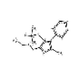 CCOCc1nc(C)c(-c2ccccc2)n1CC(C)(C)O